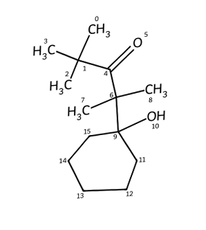 CC(C)(C)C(=O)C(C)(C)C1(O)CCCCC1